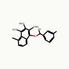 CCCC(Oc1c(OC)c(OC)c(OC(C)=O)c2c(C)cccc12)c1cccc(C)c1